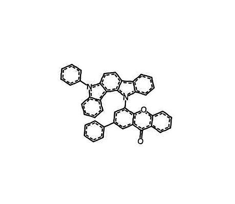 O=c1c2ccccc2oc2c(-n3c4ccccc4c4ccc5c(c6ccccc6n5-c5ccccc5)c43)cc(-c3ccccc3)cc12